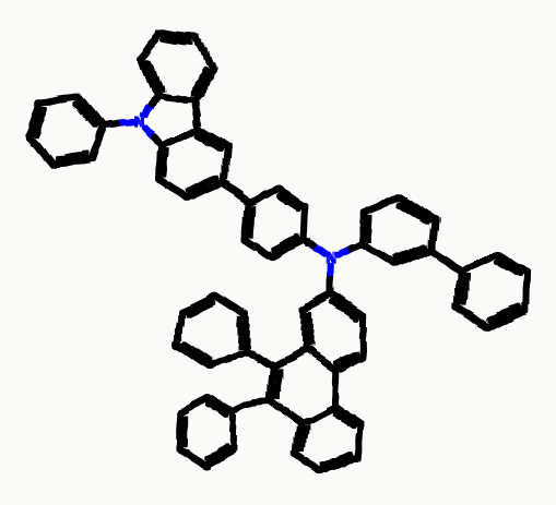 c1ccc(-c2cccc(N(c3ccc(-c4ccc5c(c4)c4ccccc4n5-c4ccccc4)cc3)c3ccc4c(c3)c(-c3ccccc3)c(-c3ccccc3)c3ccccc34)c2)cc1